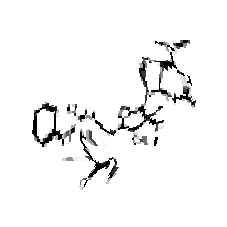 COC(=O)[C@H](C)N[P@@](=O)(OC[C@H]1O[C@@H](n2cnc3c(N(C)C)nc(C)nc32)[C@](C)(F)[C@@H]1O)Oc1ccccc1